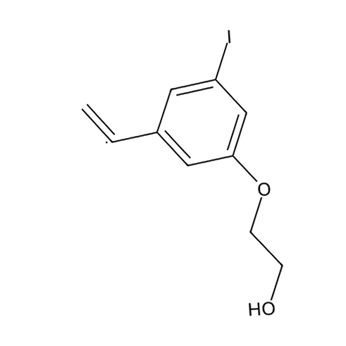 C=[C]c1cc(I)cc(OCCO)c1